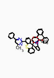 Cc1cc(-c2ccccc2)nc(-c2cccc3c2Sc2ccccc2C32c3ccccc3-c3c(-c4ccccc4-c4ccccc4-c4cccnc4C)cccc32)n1